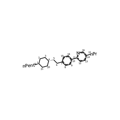 CCCCC[C@H]1CC[C@H](CCc2ccc(-c3ccc(CCC)cn3)cc2)CC1